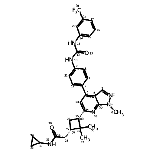 Cn1ncc2c(-c3ccc(NC(=O)Nc4cccc(C(F)(F)F)c4)cc3)cc([C@H]3C[C@@H](CC(=O)NC4CC4)C3(C)C)nc21